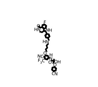 CC(O)(COc1ccc(C#N)cc1)C(=O)Nc1cc(OCCCCCNCc2ccc(-c3[nH]c4cc(F)cc5c4c3CCNC5=O)cc2)c(C#N)c(C(F)(F)F)c1